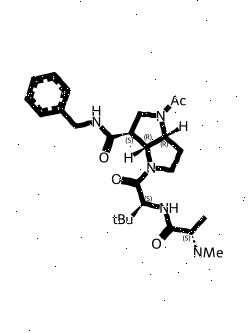 CN[C@@H](C)C(=O)N[C@H](C(=O)N1CC[C@@H]2[C@H]1[C@@H](C(=O)NCc1ccccc1)CN2C(C)=O)C(C)(C)C